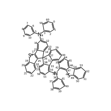 c1ccc(N(c2ccccc2)c2ccc3c(c2)-c2sc4ccccc4c2C32c3ccccc3-c3c(N(c4ccccc4)c4cccc5c4sc4ccccc45)cccc32)cc1